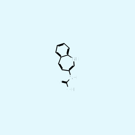 O=C(O)NC1=CNc2ccccc2C=C1